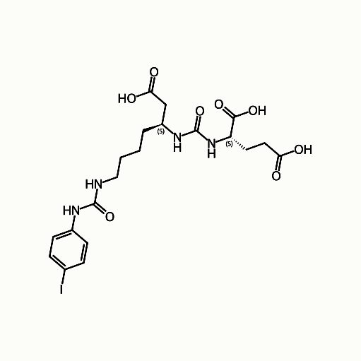 O=C(O)CC[C@H](NC(=O)N[C@@H](CCCCNC(=O)Nc1ccc(I)cc1)CC(=O)O)C(=O)O